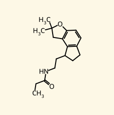 CCC(=O)NCCC1CCc2ccc3c(c21)CC(C)(C)O3